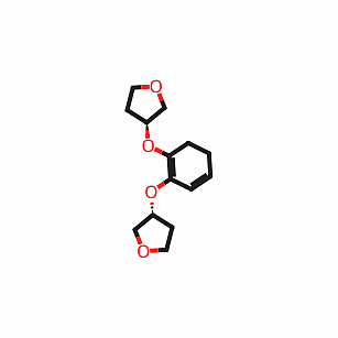 C1=CC(O[C@@H]2CCOC2)=C(O[C@H]2CCOC2)CC1